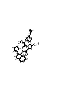 CC(C)(C)[C@H](C(=O)N1CC(O)CC1C(=O)NC1c2ccccc2CCC1N1CCCC1)n1cc(C2CC2)nn1